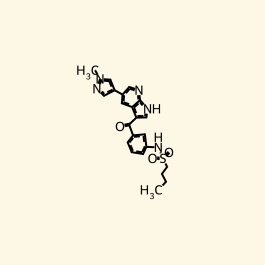 CCCCS(=O)(=O)Nc1cccc(C(=O)c2c[nH]c3ncc(-c4cnn(C)c4)cc23)c1